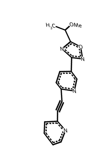 COC(C)c1nc(-c2ccc(C#Cc3ccccn3)nc2)no1